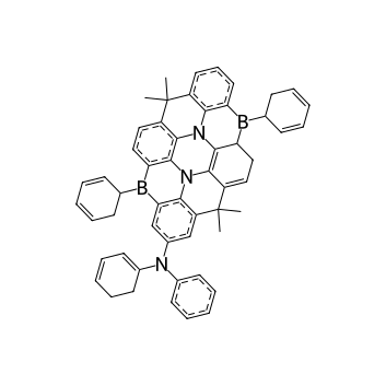 CC1(C)C2=CCC3B(C4C=CC=CC4)c4cccc5c4N4C3=C2N2c3c(cc(N(C6=CC=CCC6)c6ccccc6)cc31)B(C1C=CC=CC1)c1ccc(c4c12)C5(C)C